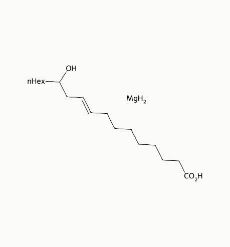 CCCCCCC(O)C/C=C/CCCCCCCC(=O)O.[MgH2]